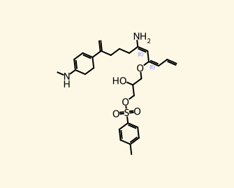 C=C/C=C(\C=C(\N)CCCC(=C)C1=CC=C(NC)CC1)OCC(O)COS(=O)(=O)c1ccc(C)cc1